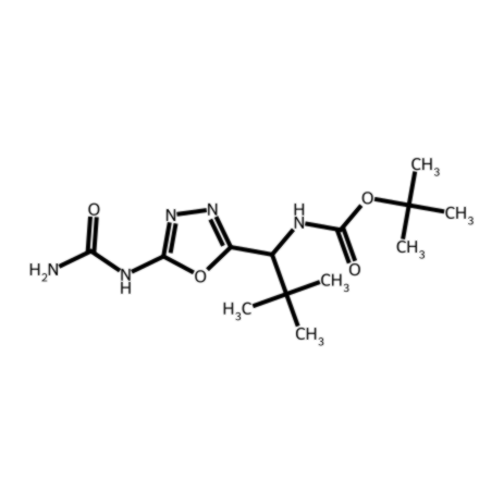 CC(C)(C)OC(=O)NC(c1nnc(NC(N)=O)o1)C(C)(C)C